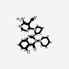 N#Cc1c(N)ncnc1N1CCC[C@H]1c1nc2cccc(Cl)c2c(=O)n1N1CCCCC1